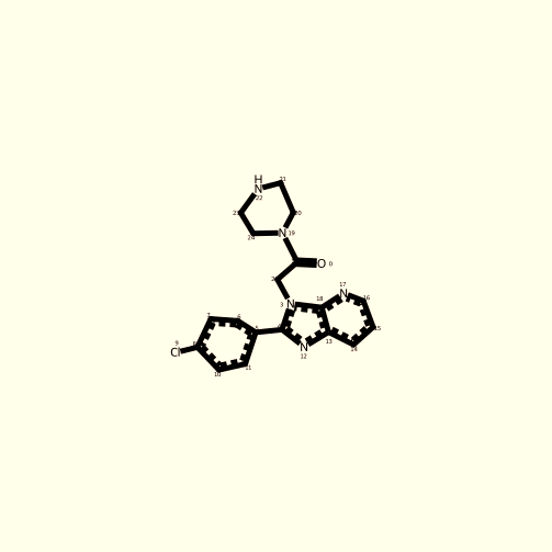 O=C(Cn1c(-c2ccc(Cl)cc2)nc2cccnc21)N1CCNCC1